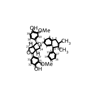 CC(Cc1ccccc1)C(C)Cc1ccccc1.COc1cc([C@H]2OC[C@H]3[C@@H]2CO[C@@H]3c2ccc(O)c(OC)c2)ccc1O